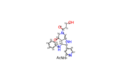 CC(=O)Nc1cc(C2NC3=CN(C(=O)CCO)CC(=O)C3C2Nc2ccccc2)ccn1